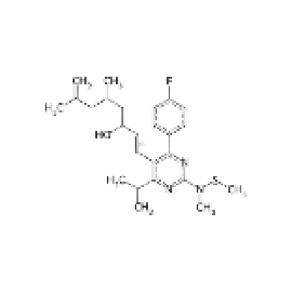 C=C(C)CC(C)CC(O)/C=C/c1c(-c2ccc(F)cc2)nc(N(C)SC)nc1C(C)C